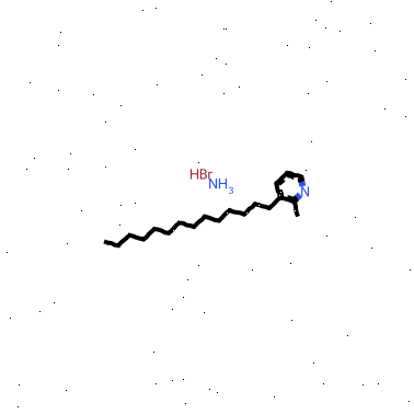 Br.CCCCCCCCCCCCCCc1cccnc1C.N